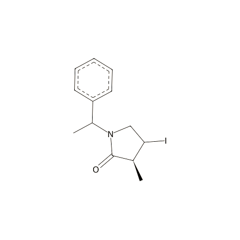 CC(c1ccccc1)N1CC(I)[C@@H](C)C1=O